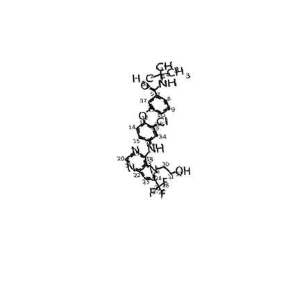 CC(C)(C)NC(=O)c1cccc(Oc2ccc(Nc3ncnc4cc(C(F)(F)F)n(CCO)c34)cc2Cl)c1